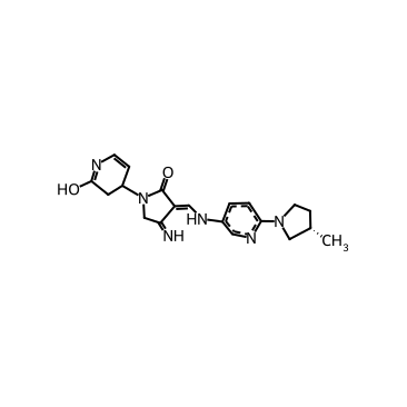 C[C@H]1CCN(c2ccc(N/C=C3\C(=N)CN(C4C=CN=C(O)C4)C3=O)cn2)C1